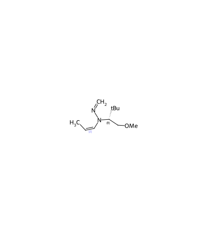 C=NN(/C=C\C)[C@@H](COC)C(C)(C)C